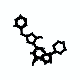 CC1CN(Cc2ccncn2)CC1c1nn2c(C3CCOCC3)ncc2c(=O)[nH]1